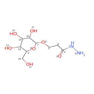 NNC(=O)CCOC1OC(CO)C(O)C(O)C1O